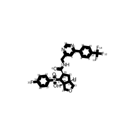 O=C(NCc1cc(-c2ccc(C(F)(F)F)cc2)ncn1)[C@H]1C[C@H]2COC[C@H]2C1S(=O)(=O)c1ccc(F)cc1